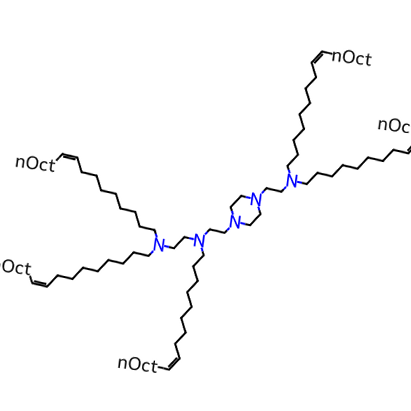 CCCCCCCC/C=C\CCCCCCCCN(CCCCCCCC/C=C\CCCCCCCC)CCN(CCCCCCCC/C=C\CCCCCCCC)CCN1CCN(CCN(CCCCCCCC/C=C\CCCCCCCC)CCCCCCCC/C=C\CCCCCCCC)CC1